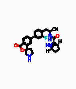 N#C[C@H](Cc1ccc(-c2ccc3c(c2)C2(CCNC2)OC3=O)cc1F)NC(=O)[C@H]1N[C@@H]2CC[C@H]1C2